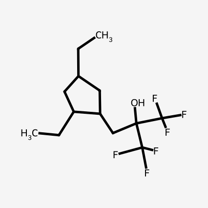 CCC1CC(CC)C(CC(O)(C(F)(F)F)C(F)(F)F)C1